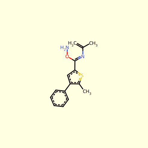 C=C(C)/N=C(\ON)c1cc(-c2ccccc2)c(C)s1